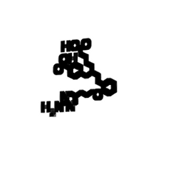 Nc1ncc(CCCOc2ccccc2/C=C/C(CCCCC(=O)O)Cc2ccc(C(=O)O)cc2)cn1